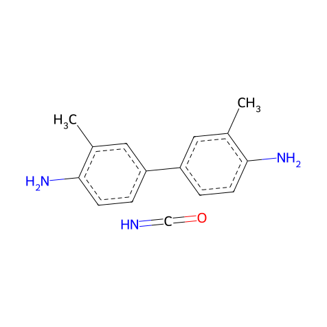 Cc1cc(-c2ccc(N)c(C)c2)ccc1N.N=C=O